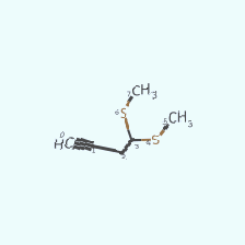 C#CCC(SC)SC